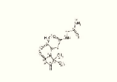 CC(=O)N(CC(=O)NCC(N)=O)N1C(=O)CNC1(C)C